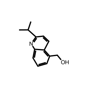 CC(C)c1ccc2c(CO)cccc2n1